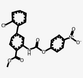 COC(=O)c1ccc(-c2ccccc2Cl)cc1NC(=O)Oc1ccc([N+](=O)[O-])cc1